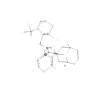 O=C(O)C1C[C@H]2CCC[C@@H](C1)N2c1nn(Cc2c(Cl)cccc2C(F)(F)F)c2cccc(F)c12